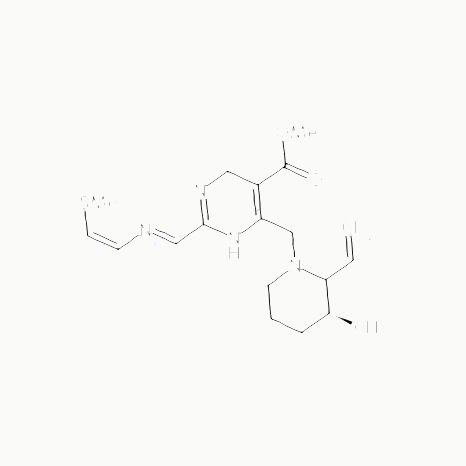 C=CC1[C@@H](C)CCCN1CC1=C(C(=O)OC)CN=C(/C=N/C=C\SC)N1